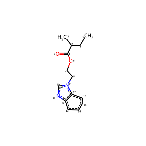 CCC(C)C(=O)OCCn1cnc2ccccc21